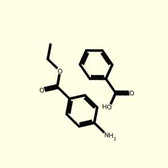 CCOC(=O)c1ccc(N)cc1.O=C(O)c1ccccc1